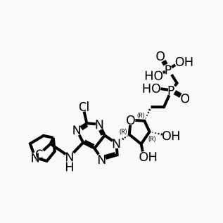 O=P(O)(O)CP(=O)(O)CC[C@H]1O[C@@H](n2cnc3c(NC4CN5CCC4CC5)nc(Cl)nc32)C(O)[C@H]1O